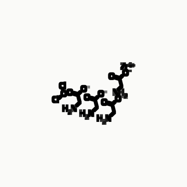 ClOCl.NCC(=O)[O-].NCC(=O)[O-].NCC(=O)[O-].NCC(=O)[O-].[Zr+4]